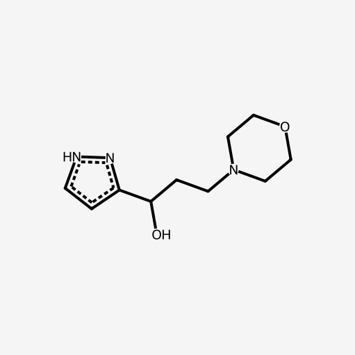 OC(CCN1CCOCC1)c1cc[nH]n1